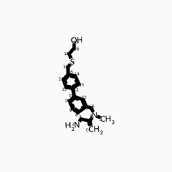 C=C(CN)N(C)Cc1cccc(-c2ccc(CSCCO)cc2)c1